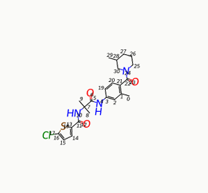 Cc1cc(NC(=O)C(C)(C)NC(=O)c2ccc(Cl)s2)ccc1C(=O)N1CCCC(C)C1